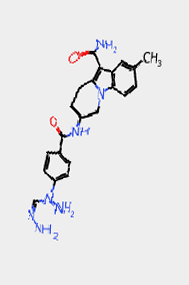 Cc1ccc2c(c1)c(C(N)=O)c1n2CC(NC(=O)c2ccc(N(N)/C=N\N)cc2)CC1